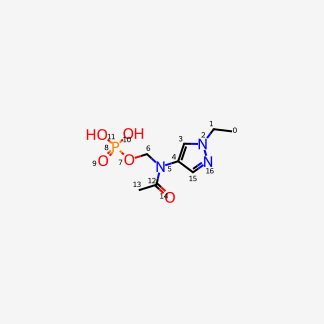 CCn1cc(N(COP(=O)(O)O)C(C)=O)cn1